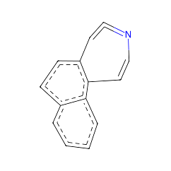 C1=Cc2ccc3ccccc3c2C=CN=1